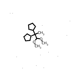 COC(OC)C(C)(C1CCCC1)C1CCCC1